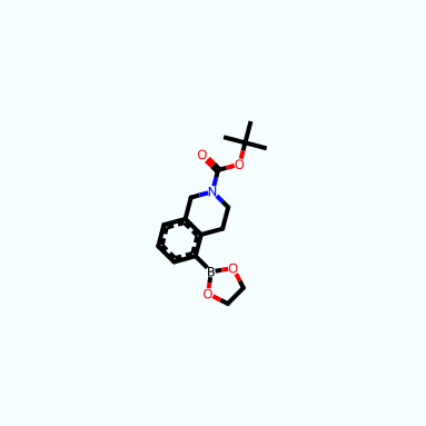 CC(C)(C)OC(=O)N1CCc2c(cccc2B2OCCO2)C1